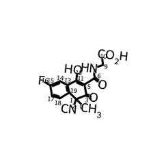 CC1(C#N)C(=O)C(C(=O)NCC(=O)O)=C(O)c2cc(F)ccc21